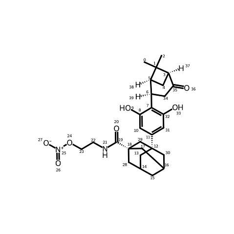 CC1(C)[C@@H]2C[C@H]1[C@H](c1c(O)cc([C@]34CC5CC(C[C@@](C(=O)NCCO[N+](=O)[O-])(C5)C3)C4)cc1O)CC2=O